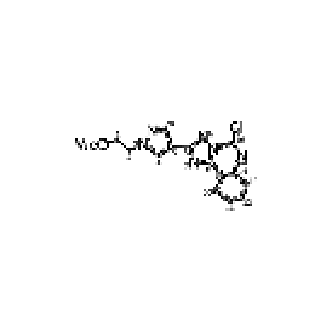 COCCn1cc(-c2nc3c4ccccc4nc(Cl)n3n2)cn1